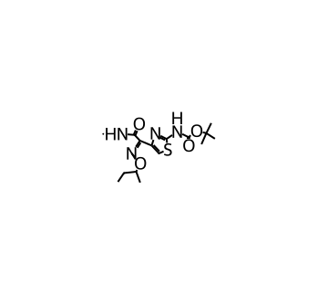 CCC(C)O/N=C(/C([NH])=O)c1csc(NC(=O)OC(C)(C)C)n1